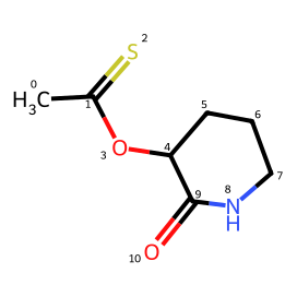 CC(=S)OC1CCCNC1=O